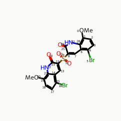 COc1ccc(Br)c2cc(S(=O)(=O)c3cc4c(Br)ccc(OC)c4[nH]c3=O)c(=O)[nH]c12